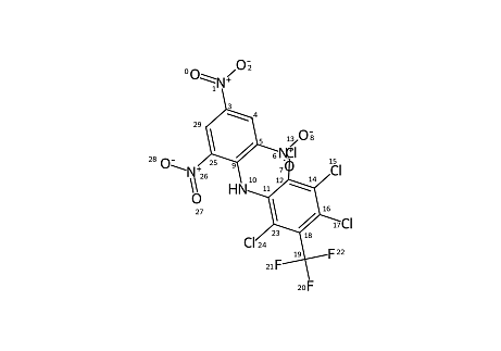 O=[N+]([O-])c1cc([N+](=O)[O-])c(Nc2c(Cl)c(Cl)c(Cl)c(C(F)(F)F)c2Cl)c([N+](=O)[O-])c1